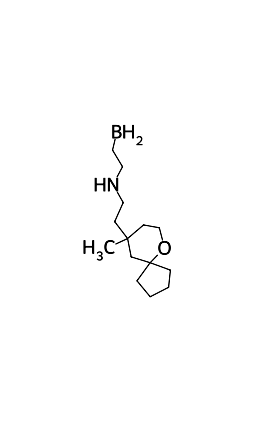 BCCNCCC1(C)CCOC2(CCCC2)C1